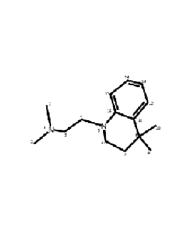 CN(C)CCN1[C]CC(C)(C)c2ccccc21